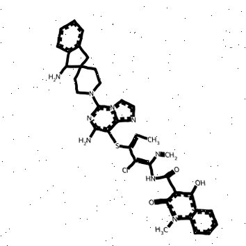 C=N/C(NC(=O)c1c(O)c2ccccc2n(C)c1=O)=C(Cl)\C(=C/C)Sc1c(N)nc(N2CCC3(CC2)Cc2ccccc2C3N)n2ccnc12